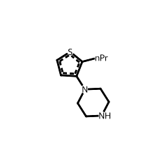 CCCc1sccc1N1CCNCC1